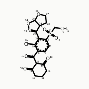 CCS(=O)(=O)c1ccc(C(=O)C2C(=O)CCCC2=O)c(Cl)c1C1=NOC2OCCC12